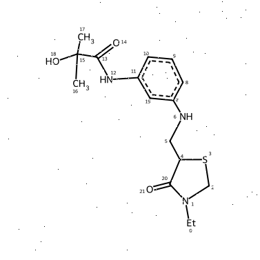 CCN1CSC(CNc2cccc(NC(=O)C(C)(C)O)c2)C1=O